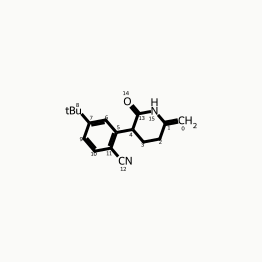 C=C1CCC(c2cc(C(C)(C)C)ccc2C#N)C(=O)N1